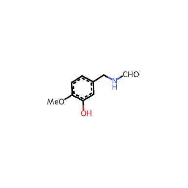 COc1ccc(CN[C]=O)cc1O